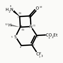 CCOC(=O)C1=C(C(F)(F)F)CS[C@H]2[C@@H](N)C(=O)N12